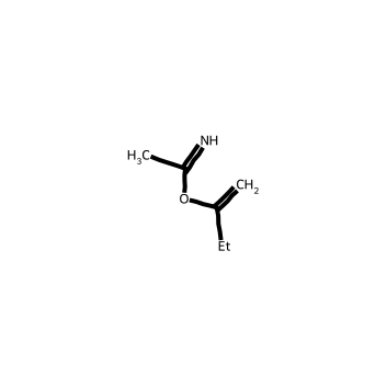 C=C(CC)OC(C)=N